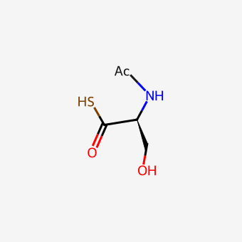 CC(=O)N[C@@H](CO)C(=O)S